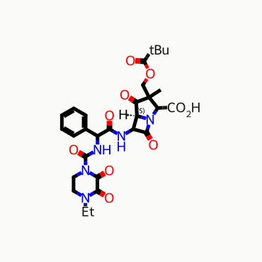 CCN1CCN(C(=O)NC(C(=O)NC2C(=O)N3C(C(=O)O)C(C)(COC(=O)C(C)(C)C)C(=O)[C@H]23)c2ccccc2)C(=O)C1=O